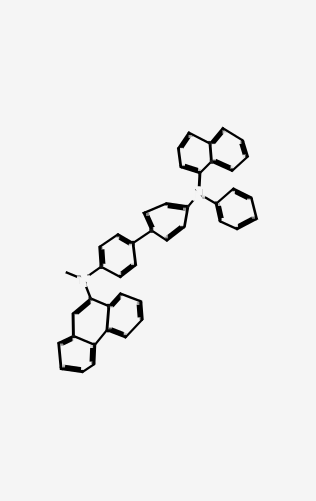 CN(c1ccc(-c2ccc(N(c3ccccc3)c3cccc4ccccc34)cc2)cc1)c1cc2ccccc2c2ccccc12